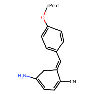 CCCCCOc1ccc(C=C2CC(N)=CC=C2C#N)cc1